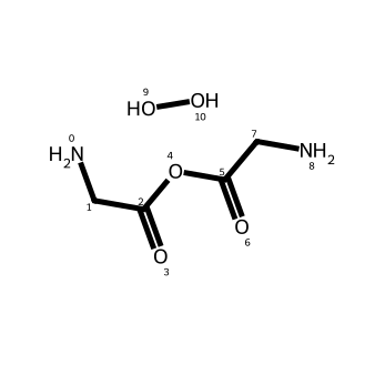 NCC(=O)OC(=O)CN.OO